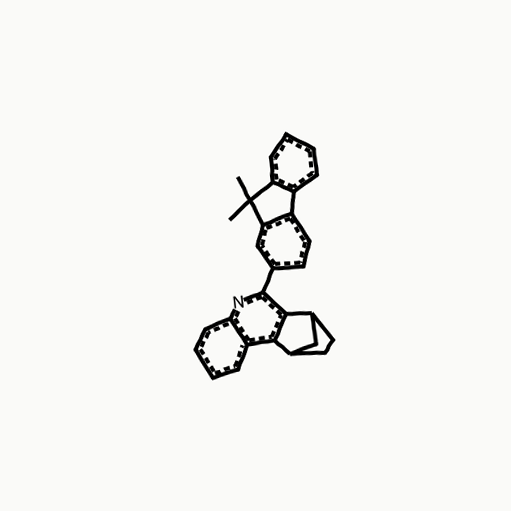 CC1(C)c2ccccc2-c2ccc(-c3nc4ccccc4c4c3C3CCC4C3)cc21